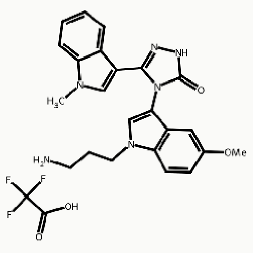 COc1ccc2c(c1)c(-n1c(-c3cn(C)c4ccccc34)n[nH]c1=O)cn2CCCN.O=C(O)C(F)(F)F